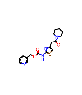 O=C(Nc1nc(CC(=O)N2CCCCC2)cs1)OCc1cccnc1